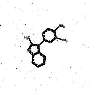 Cc1cc(-n2c(C)nc3ccccc32)ccc1[N+](=O)[O-]